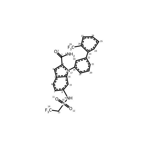 NC(=O)c1cc2ccc(NS(=O)(=O)CC(F)(F)F)cc2n1-c1cccc(-c2ccccc2C(F)(F)F)c1